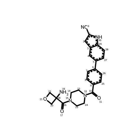 N#Cc1cc2cc(-c3ccc(C(=O)N4CCN(C(=O)C5(N)COC5)CC4)cc3)ccc2[nH]1